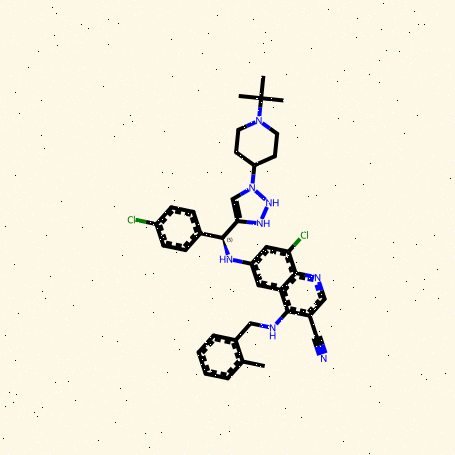 Cc1ccccc1CNc1c(C#N)cnc2c(Cl)cc(N[C@H](C3=CN(C4CCN(C(C)(C)C)CC4)NN3)c3ccc(Cl)cc3)cc12